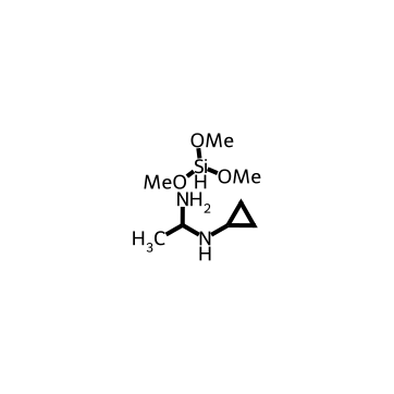 CC(N)NC1CC1.CO[SiH](OC)OC